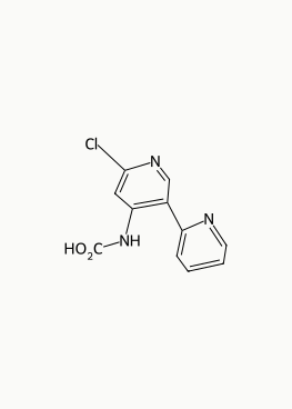 O=C(O)Nc1cc(Cl)ncc1-c1ccccn1